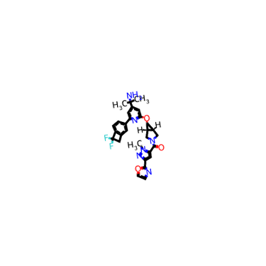 Cn1nc(-c2ncco2)cc1C(=O)N1C[C@@H]2C(Oc3cc(C(C)(C)N)cc(-c4ccc5c(c4)CC5(F)F)n3)[C@@H]2C1